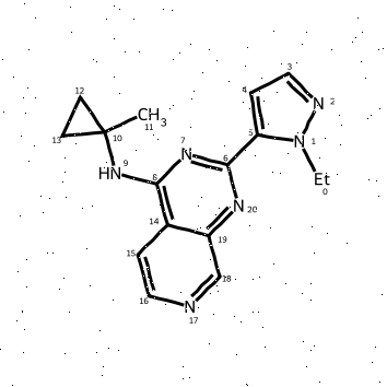 CCn1nccc1-c1nc(NC2(C)CC2)c2ccncc2n1